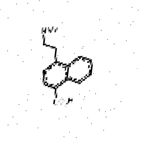 CNCCc1ccc(C(=O)O)c2ccccc12